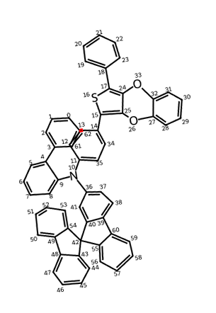 c1ccc(-c2ccccc2N(c2ccc(-c3sc(-c4ccccc4)c4c3Oc3ccccc3O4)cc2)c2ccc3c(c2)C2(c4ccccc4-c4ccccc42)c2ccccc2-3)cc1